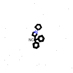 N#CC(c1ccccc1)(c1ccccc1)C1CCN(C2CCCCC2)C1